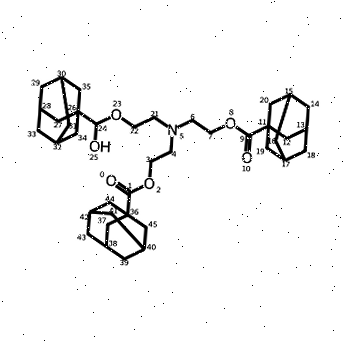 O=C(OCCN(CCOC(=O)C12CC3CC(CC(C3)C1)C2)CCOC(O)C12CC3CC(CC(C3)C1)C2)C12CC3CC(CC(C3)C1)C2